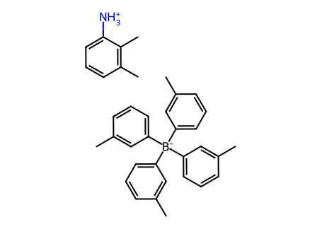 Cc1cccc([B-](c2cccc(C)c2)(c2cccc(C)c2)c2cccc(C)c2)c1.Cc1cccc([NH3+])c1C